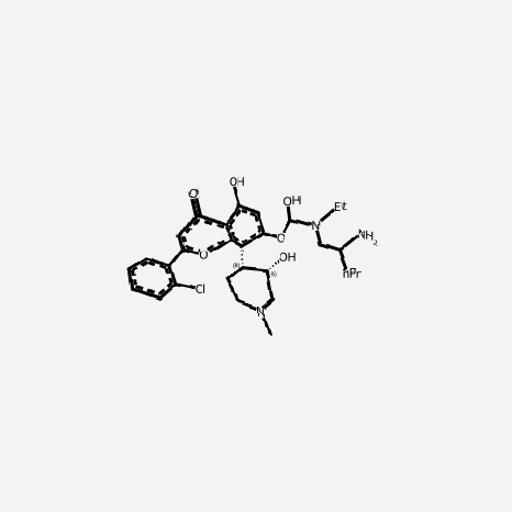 CCCC(N)CN(CC)C(O)Oc1cc(O)c2c(=O)cc(-c3ccccc3Cl)oc2c1[C@H]1CCN(C)C[C@H]1O